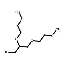 OCC(COCCOO)OCCOO